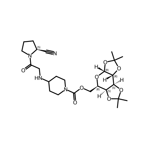 CC1(C)O[C@H]2[C@@H](O1)[C@@H](COC(=O)N1CCC(NCC(=O)N3CCC[C@H]3C#N)CC1)O[C@@H]1OC(C)(C)O[C@@H]12